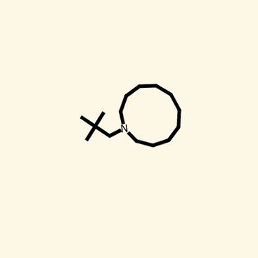 CC(C)(C)CN1CCCCCCCCCC1